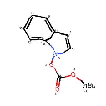 CCCCOC(=O)On1ccc2ccccc21